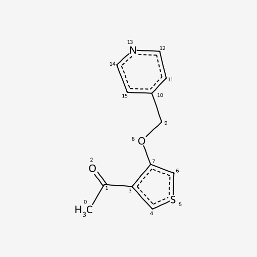 CC(=O)c1cscc1OCc1ccncc1